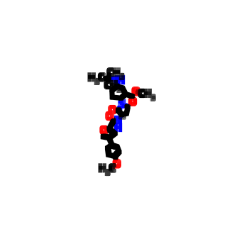 COC(=O)C1CC(NC(C)(C)C)CCC1N1CC[C@H](NC(=O)c2cc(-c3ccc(OC)cc3)co2)C1=O